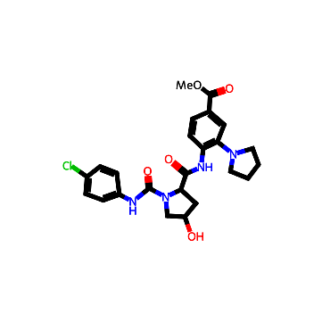 COC(=O)c1ccc(NC(=O)C2CC(O)CN2C(=O)Nc2ccc(Cl)cc2)c(N2CCCC2)c1